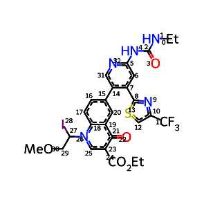 CCNC(=O)Nc1cc(-c2nc(C(F)(F)F)cs2)c(-c2ccc3c(c2)c(=O)c(C(=O)OCC)cn3C(I)COC)cn1